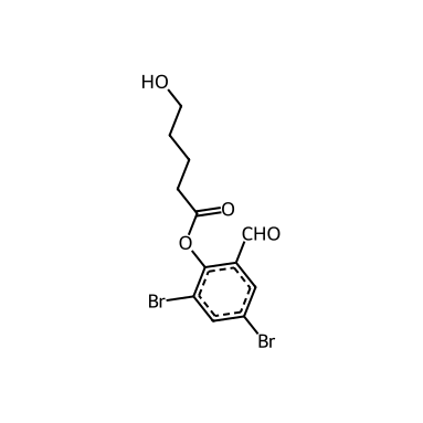 O=Cc1cc(Br)cc(Br)c1OC(=O)CCCCO